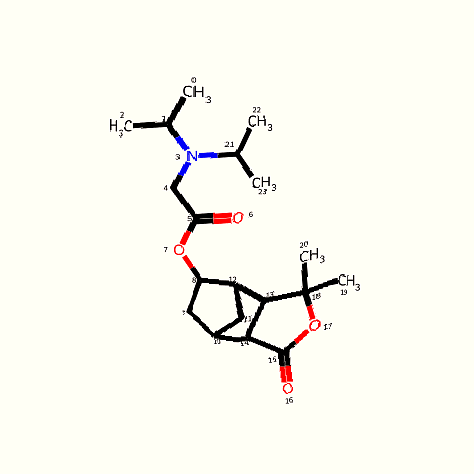 CC(C)N(CC(=O)OC1CC2CC1C1C2C(=O)OC1(C)C)C(C)C